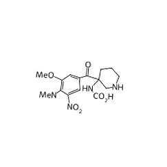 CNc1c(OC)cc(C(=O)C2(NC(=O)O)CCCNC2)cc1[N+](=O)[O-]